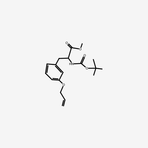 C=CCOc1cccc(CC(NC(=O)OC(C)(C)C)C(=O)OC)c1